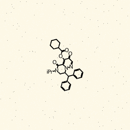 CC(C)N1CC(C(c2ccccc2)c2ccccc2)n2ncc(=O)c(OC(=O)C3CCCCC3)c2C1=O